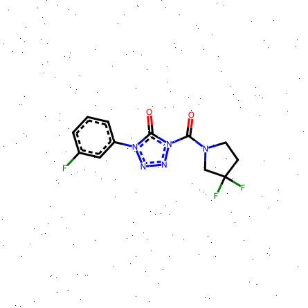 O=C(N1CCC(F)(F)C1)n1nnn(-c2cccc(F)c2)c1=O